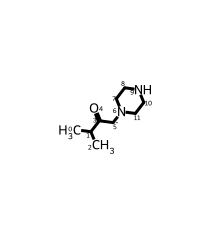 CC(C)C(=O)[CH]N1CCNCC1